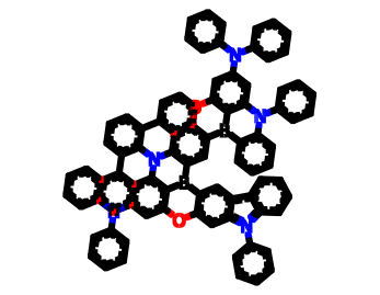 c1ccc(-c2cccc(-c3ccccc3)c2N2c3cc4c(cc3B3c5cc6c7ccccc7n(-c7ccccc7)c6cc5Oc5cc(N(c6ccccc6)c6ccccc6)cc2c53)B2c3ccccc3N(c3ccccc3)c3cc(N(c5ccccc5)c5ccccc5)cc(c32)O4)cc1